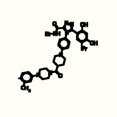 CCNC(=O)c1nnc(-c2cc(C(C)C)c(O)cc2O)n1-c1ccc(N2CCC(C(=O)N3CCN(c4cc[c]c(C)c4)CC3)CC2)cc1